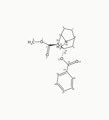 COC(=O)[C@H]1C2CCC(C[C@@H]1OC(=O)c1ccccc1)N2C